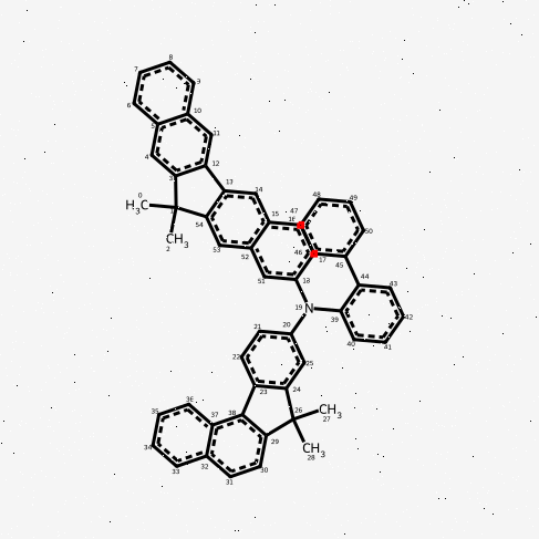 CC1(C)c2cc3ccccc3cc2-c2cc3ccc(N(c4ccc5c(c4)C(C)(C)c4ccc6ccccc6c4-5)c4ccccc4-c4ccccc4)cc3cc21